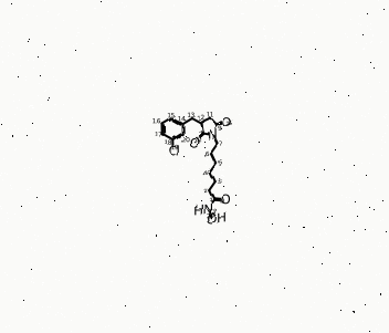 O=C(CCCCCCN1C(=O)CC(Cc2cccc(Cl)c2)C1=O)NO